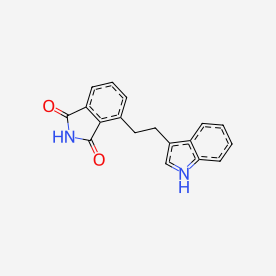 O=C1NC(=O)c2c(CCc3c[nH]c4ccccc34)cccc21